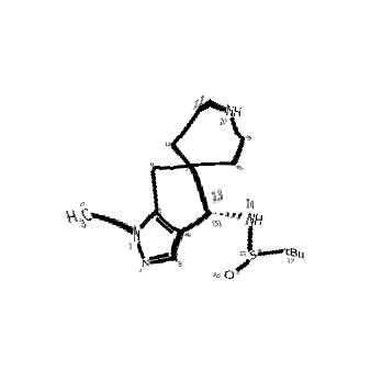 Cn1ncc2c1CC1(CCNCC1)[C@@H]2N[S+]([O-])C(C)(C)C